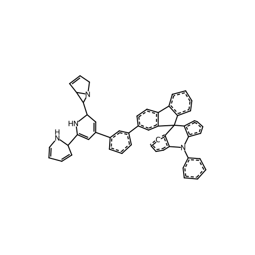 C1=CNC(C2=CC(c3cccc(-c4ccc5c(c4)C4(c6ccccc6-5)c5ccccc5N(c5ccccc5)c5ccccc54)c3)=CC(C3C4C=CCN43)N2)C=C1